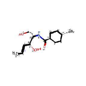 C/C=C/[C@@H](O)[C@H](CO)NC(=O)[C@H]1CC[C@H](C(C)(C)C)CC1